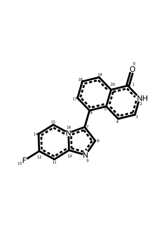 O=c1[nH]ccc2c(-c3cnc4cc(F)ccn34)cccc12